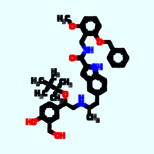 COc1cccc(OCc2ccccc2)c1CNC(=O)c1cc2cc(C[C@@H](C)NC[C@H](O[Si](C)(C)C(C)(C)C)c3ccc(O)c(CO)c3)ccc2[nH]1